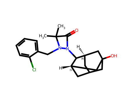 CC1(C)C(=O)N(C2[C@@H]3CC4C[C@H]2CC(O)(C4)C3)N1Cc1ccccc1Cl